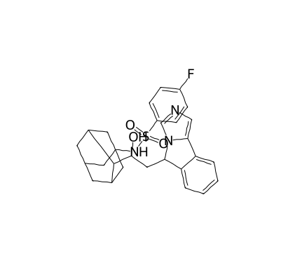 O=S(=O)(NC12CC3CC(C1)C(C(O)CC1c4ccccc4-c4cncn41)C(C3)C2)c1ccc(F)cc1